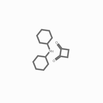 C1CCC(NC2CCCCC2)CC1.O=C1CCC1=O